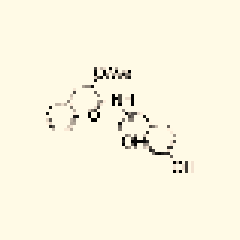 COC(Cc1ccccc1)C(=O)N[C@H](CO)Cc1ccc(O)cc1